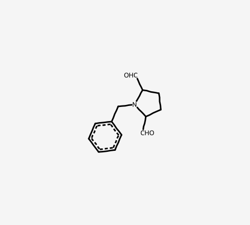 O=CC1CCC(C=O)N1Cc1ccccc1